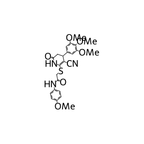 COc1ccc(NC(=O)CSC2=C(C#N)C(c3cc(OC)c(OC)c(OC)c3)CC(=O)N2)cc1